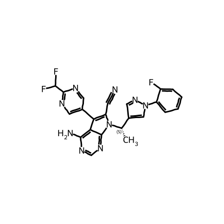 C[C@@H](c1cnn(-c2ccccc2F)c1)n1c(C#N)c(-c2cnc(C(F)F)nc2)c2c(N)ncnc21